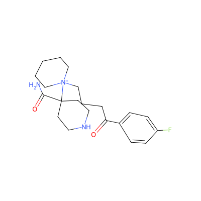 NC(=O)C1([N+]2(CCCC(=O)c3ccc(F)cc3)CCCCC2)CCNCC1